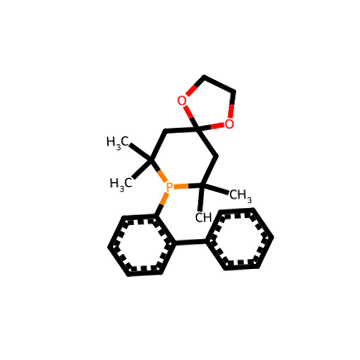 CC1(C)CC2(CC(C)(C)P1c1ccccc1-c1ccccc1)OCCO2